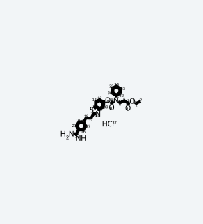 CCOC(=O)CCN(C(=O)Oc1ccc2sc(CCc3ccc(C(=N)N)cc3)nc2c1)c1ccccc1.Cl